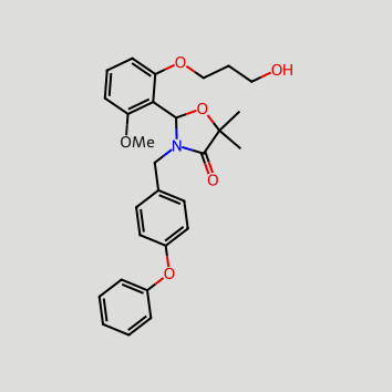 COc1cccc(OCCCO)c1C1OC(C)(C)C(=O)N1Cc1ccc(Oc2ccccc2)cc1